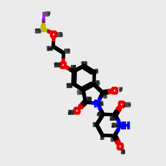 O=C1CCC(N2C(=O)c3ccc(OCCOSI)cc3C2=O)C(=O)N1